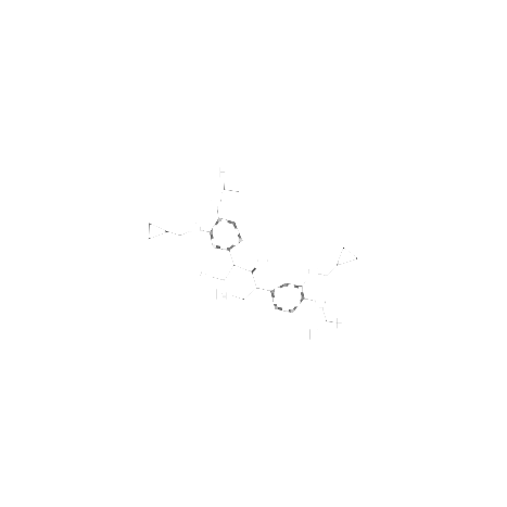 O=C(C(CBr)c1ccc(OC(F)F)c(OCC2CC2)c1)C(CBr)c1ccc(OC(F)F)c(OCC2CC2)c1